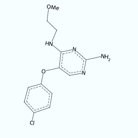 COCCNc1nc(N)ncc1Oc1ccc(Cl)cc1